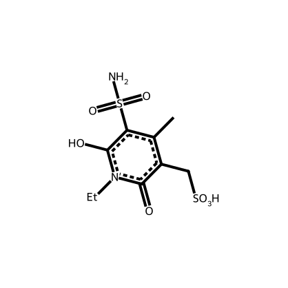 CCn1c(O)c(S(N)(=O)=O)c(C)c(CS(=O)(=O)O)c1=O